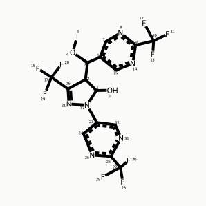 OC1C(C(OI)c2cnc(C(F)(F)F)nc2)C(C(F)(F)F)=NN1c1cnc(C(F)(F)F)nc1